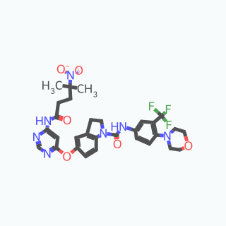 CC(C)(CCC(=O)Nc1cc(Oc2ccc3c(c2)CCN3C(=O)Nc2ccc(N3CCOCC3)c(C(F)(F)F)c2)ncn1)[N+](=O)[O-]